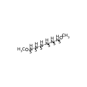 Cc1ccc(C(=S)NCCC(=S)NCCC(=S)NCCCNC(=S)CCNC(=S)CCNC(=S)c2ccc(C)cc2)cc1